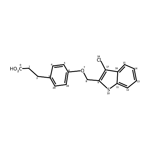 O=C(O)CCc1ccc(OCc2sc3ccccc3c2Cl)cc1